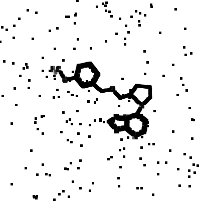 FC(F)(F)Oc1cccc(COCC2CCCN2c2ccnc3ncnn23)c1